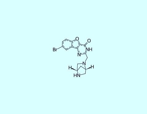 O=c1[nH]c(CN2C[C@@H]3C[C@H]2CN3)nc2c1oc1ccc(Br)cc12